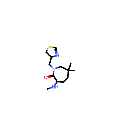 CNC1CCC(C)(C)CN(CC2CSC=N2)C1=O